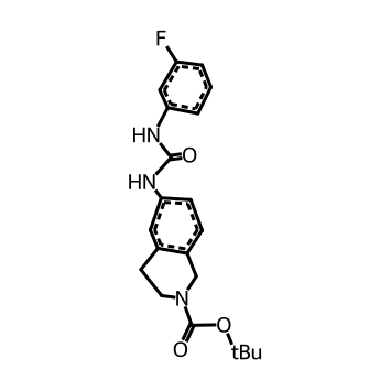 CC(C)(C)OC(=O)N1CCc2cc(NC(=O)Nc3cccc(F)c3)ccc2C1